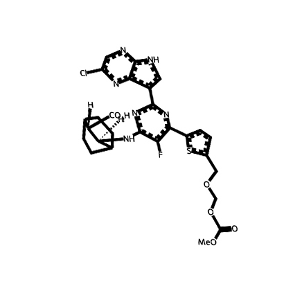 COC(=O)OCOCc1ccc(-c2nc(-c3c[nH]c4ncc(Cl)nc34)nc(N[C@H]3C4CCC(CC4)[C@@H]3C(=O)O)c2F)s1